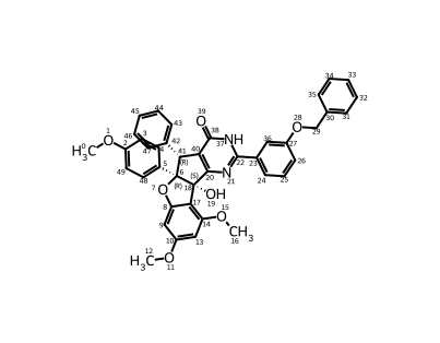 COc1ccc([C@@]23Oc4cc(OC)cc(OC)c4[C@]2(O)c2nc(-c4cccc(OCc5ccccc5)c4)[nH]c(=O)c2[C@H]3c2ccccc2)cc1